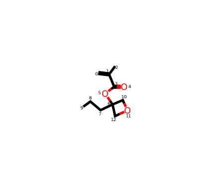 C=C(C)C(=O)OC1(CCC)COC1